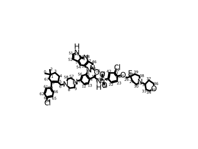 CC1(C)CCC(CN2CCN(c3ccc(C(=O)NS(=O)(=O)c4ccc(OCC5(F)CCN(C6CCOCC6)CC5)c(Cl)c4)c(-n4ncc5nc6[nH]ccc6cc54)c3)CC2)=C(c2ccc(Cl)cc2)C1